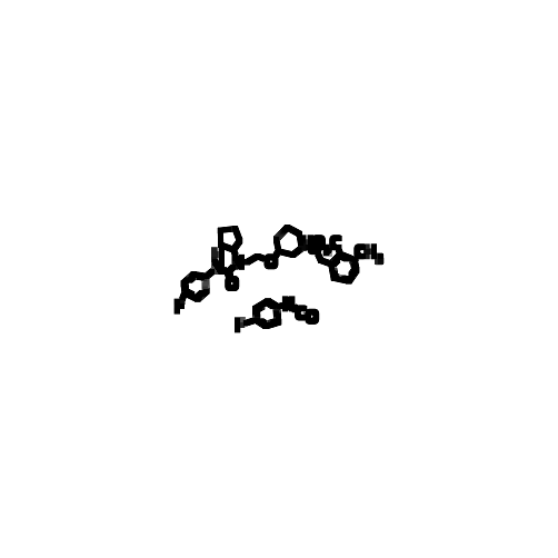 Cc1cccc(COC2CCCC(OCCN(C(=O)Nc3ccc(F)cc3)C3CCCC3)C2)c1C(=O)O.O=C=Nc1ccc(F)cc1